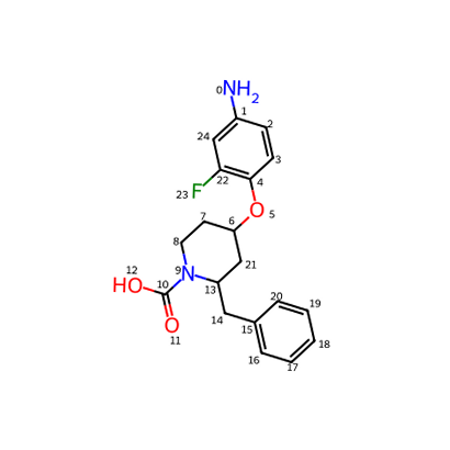 Nc1ccc(OC2CCN(C(=O)O)C(Cc3ccccc3)C2)c(F)c1